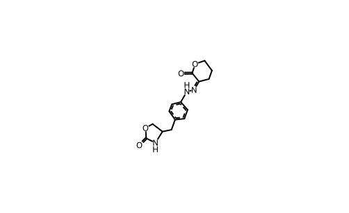 O=C1NC(Cc2ccc(NN=C3CCCOC3=O)cc2)CO1